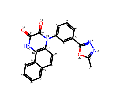 Cc1nnc(-c2cccc(-n3c(=O)c(=O)[nH]c4c5ccccc5ccc43)c2)o1